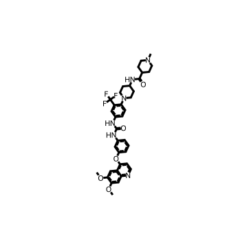 COc1cc2nccc(Oc3cccc(NC(=O)Nc4ccc(N5CCC(NC(=O)C6CCN(C)CC6)CC5)c(C(F)(F)F)c4)c3)c2cc1OC